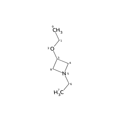 CCOC1CN(CC)C1